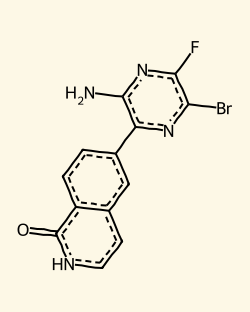 Nc1nc(F)c(Br)nc1-c1ccc2c(=O)[nH]ccc2c1